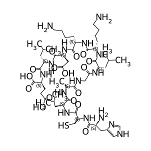 CC(C)C[C@H](NC(=O)CNC(=O)[C@H](C)NC(=O)[C@H](CC(C)C)NC(=O)[C@H](CS)NC(=O)[C@@H](N)Cc1c[nH]cn1)C(=O)N[C@@H](CCCCN)C(=O)N[C@@H](CCCCN)C(=O)N[C@@H](CC(=O)O)C(=O)N[C@@H](CC(C)C)C(=O)N[C@@H](CCC(=O)O)C(=O)O